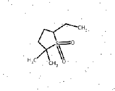 CCC1CCC(C)(C)S1(=O)=O